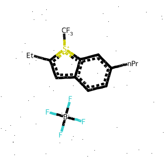 CCCc1ccc2cc(CC)[s+](C(F)(F)F)c2c1.F[B-](F)(F)F